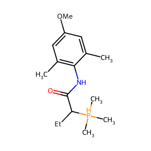 CCC(C(=O)Nc1c(C)cc(OC)cc1C)[PH](C)(C)C